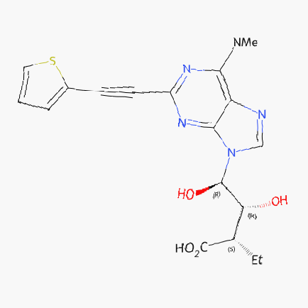 CC[C@H](C(=O)O)[C@@H](O)[C@@H](O)n1cnc2c(NC)nc(C#Cc3cccs3)nc21